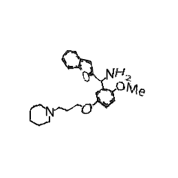 COc1ccc(OCCCN2CCCCC2)cc1C(N)c1cc2ccccc2o1